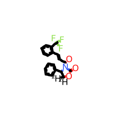 [2H]C1([2H])OC(=O)N(C(=O)/C=C/c2ccccc2C(F)(F)F)C1c1ccccc1